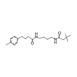 Cc1ccc(CCCC(=O)NCCCCNC(=O)CC(C)(C)C)cc1